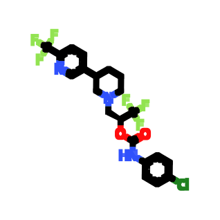 O=C(Nc1ccc(Cl)cc1)O[C@@H](CN1CCCC(c2ccc(C(F)(F)F)nc2)C1)C(F)(F)F